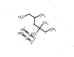 CCC(C)CC(C)(C)CC.N=C=O.N=C=O